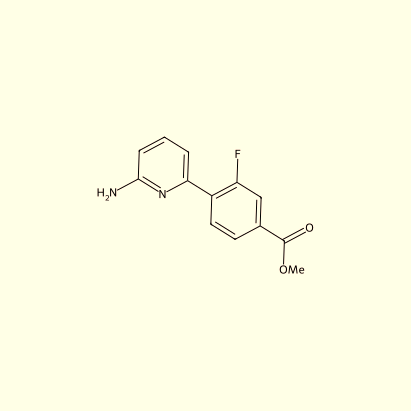 COC(=O)c1ccc(-c2cccc(N)n2)c(F)c1